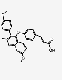 COc1ccc(-c2c(C)cc3cc(OC)ccc3c2Oc2ccc(C=CC(=O)O)cc2)cc1